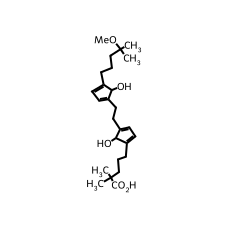 COC(C)(C)CCCC1=CC=C(CCC2=CC=C(CCCC(C)(C)C(=O)O)C2O)C1O